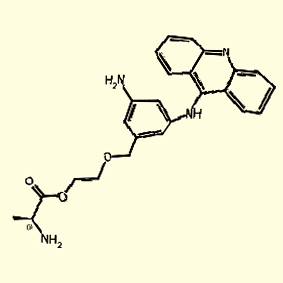 C[C@H](N)C(=O)OCCOCc1cc(N)cc(Nc2c3ccccc3nc3ccccc23)c1